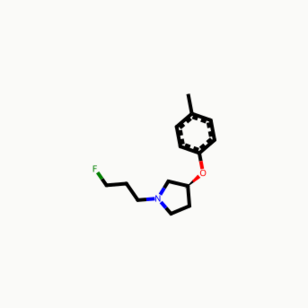 Cc1ccc(O[C@H]2CCN(CCCF)C2)cc1